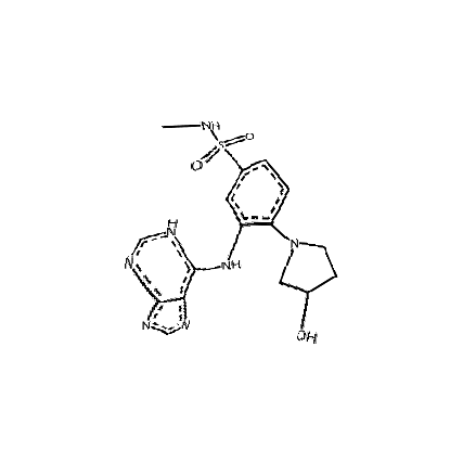 CNS(=O)(=O)c1ccc(N2CCC(O)C2)c(Nc2[nH]cnc3ncnc2-3)c1